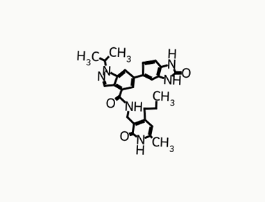 CCCc1cc(C)[nH]c(=O)c1CNC(=O)c1cc(-c2ccc3[nH]c(=O)[nH]c3c2)cc2c1cnn2C(C)C